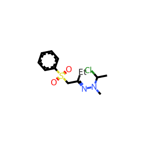 CC/C(CS(=O)(=O)c1ccccc1)=N\N(C)C(C)Cl